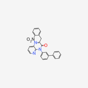 O=c1c(Cc2ccccc2[N+](=O)[O-])nc2cccnc2n1-c1cccc(-c2ccccc2)c1